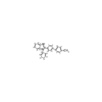 Cc1ccc(-c2ccc(-c3nc4ccccc4n3C3=CCCC=C3)cc2)cc1